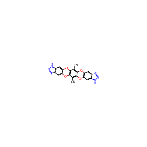 N#Cc1c2oc3cc4nn[nH]c4cc3oc2c(C#N)c2oc3cc4nn[nH]c4cc3oc12